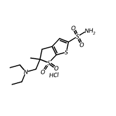 CCN(CC)CC1(C)Cc2cc(S(N)(=O)=O)sc2S1(=O)=O.Cl